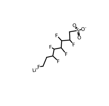 O=S(=O)([O-])CC(F)C(F)C(F)C(F)C(F)CCF.[Li+]